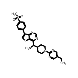 CCc1cnc(N2CCC(C(N)c3ncnc4c(-c5ccc(S(C)(=O)=O)cc5)csc34)CC2)nc1